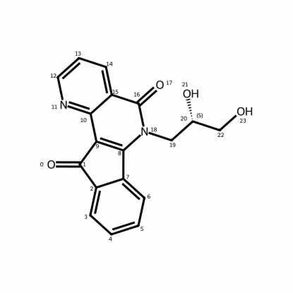 O=C1c2ccccc2-c2c1c1ncccc1c(=O)n2C[C@H](O)CO